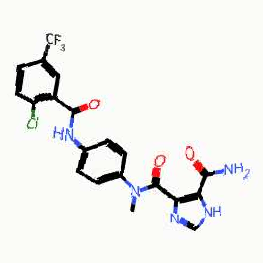 CN(C(=O)c1nc[nH]c1C(N)=O)c1ccc(NC(=O)c2cc(C(F)(F)F)ccc2Cl)cc1